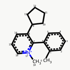 Cc1ccccc1-c1c(C2CCCC2)ccc[n+]1C